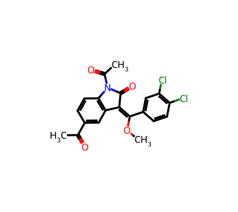 COC(=C1C(=O)N(C(C)=O)c2ccc(C(C)=O)cc21)c1ccc(Cl)c(Cl)c1